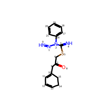 N=NN(C(=N)SCC(=O)CC1=CC=CCC1)c1ccccc1